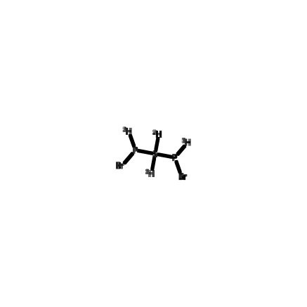 [2H]S([3H])(P([3H])Br)P([3H])Br